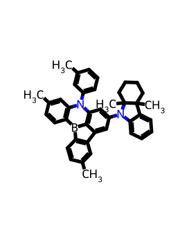 Cc1cccc(N2c3cc(C)ccc3B3c4ccc(C)cc4-c4cc(N5c6ccccc6C6(C)CCCCC56C)cc2c43)c1